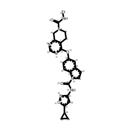 CCNC(=O)N1CCc2c(ncnc2Oc2ccc3c(ccn3C(=O)Nc3cc(C4CC4)on3)c2)C1